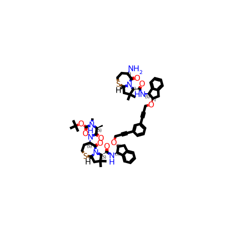 C[C@@H](C(=O)N[C@H]1CCS[C@H]2CC(C)(C)[C@@H](C(=O)N[C@H]3c4ccccc4C[C@H]3OCC#Cc3cccc(C#CCO[C@@H]4Cc5ccccc5[C@@H]4NC(=O)[C@H]4N5C(=O)[C@@H](N)CCS[C@H]5CC4(C)C)c3)N2C1=O)N(C)C(=O)OC(C)(C)C